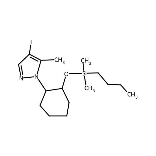 CCCC[Si](C)(C)OC1CCCCC1n1ncc(I)c1C